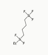 CC[Si](F)(F)CCCC[Si](F)(F)F